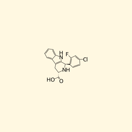 O=C(O)[C@@H]1Cc2c([nH]c3ccccc23)[C@@H](c2ccc(Cl)cc2F)N1